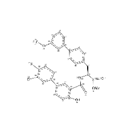 COC(=O)[C@H](Cc1ccc(-c2cccc(OC(F)(F)F)c2)cc1)NC(=O)c1cc(-c2ccc(F)c(Cl)c2)ccc1O